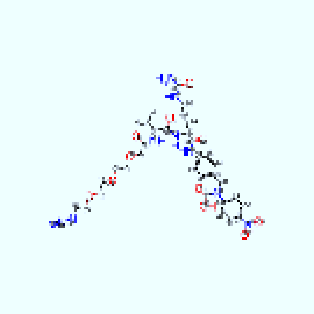 CC(C)C(NC(=O)COCCOCCOCCN=[N+]=[N-])C(=O)NC(CCCNC(N)=O)C(=O)Nc1ccc(CN(C(=O)O)c2ccc([N+](=O)[O-])cc2)cc1